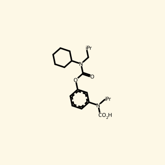 CC(C)CN(C(=O)Oc1cccc(N(C(=O)O)C(C)C)c1)C1CCCCC1